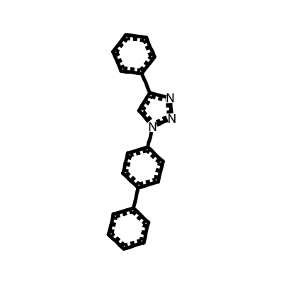 c1ccc(-c2ccc(-n3cc(-c4ccccc4)nn3)cc2)cc1